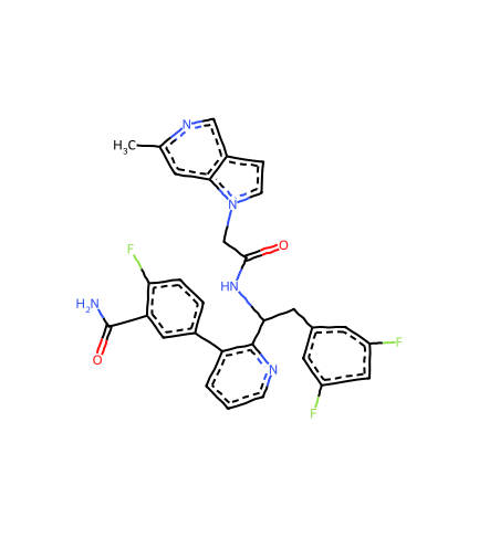 Cc1cc2c(ccn2CC(=O)NC(Cc2cc(F)cc(F)c2)c2ncccc2-c2ccc(F)c(C(N)=O)c2)cn1